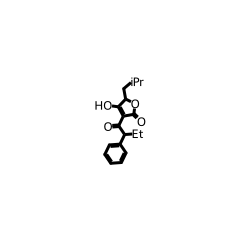 CCC(C(=O)C1=C(O)C(CC(C)C)OC1=O)c1ccccc1